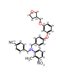 Cc1c(N(Cc2ccc(C#N)cc2)Cc2ccc(Oc3cccc(OCC4CCOC4)c3)cc2)cccc1[N+](=O)[O-]